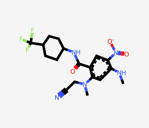 CNc1cc(N(C)CC#N)c(C(=O)NC2CCC(C(F)(F)F)CC2)cc1[N+](=O)[O-]